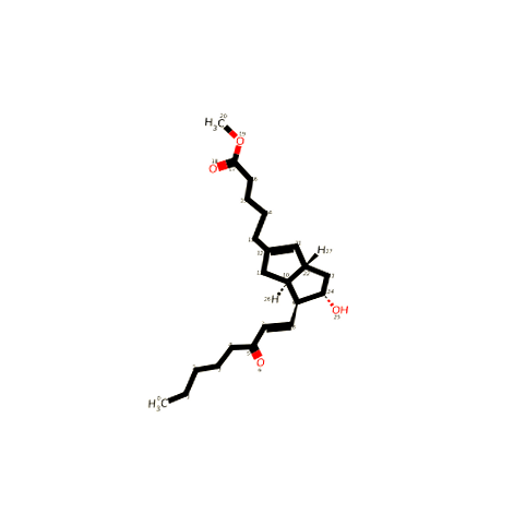 CCCCCC(=O)C=C[C@H]1[C@H]2CC(CCCCC(=O)OC)=C[C@@H]2C[C@@H]1O